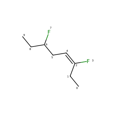 CC/C(F)=C\CC(F)CC